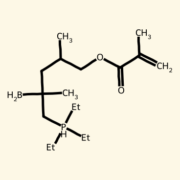 BC(C)(CC(C)COC(=O)C(=C)C)C[PH](CC)(CC)CC